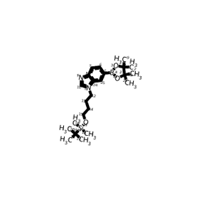 CC1(C)OB(c2ccc3ncn(CCCCO[Si](C)(C)C(C)(C)C)c3c2)OC1(C)C